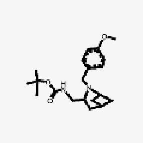 COc1ccc(CN2C(CNC(=O)OC(C)(C)C)CC3CC2C3)cc1